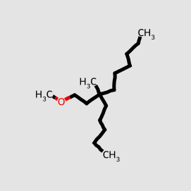 CCCCCCC(C)(CCCCC)CCOC